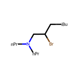 CCCN(CCC)CC(Br)CC(C)CC